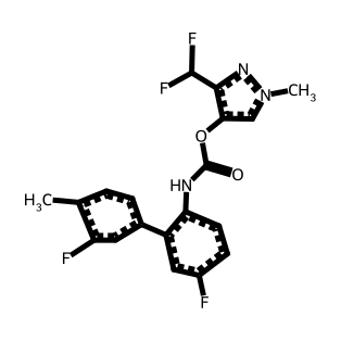 Cc1ccc(-c2cc(F)ccc2NC(=O)Oc2cn(C)nc2C(F)F)cc1F